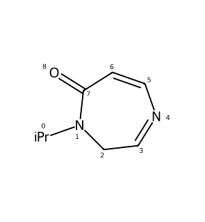 CC(C)N1CC=NC=CC1=O